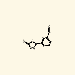 N#Cc1cccc(-c2n[nH]c(=O)o2)c1